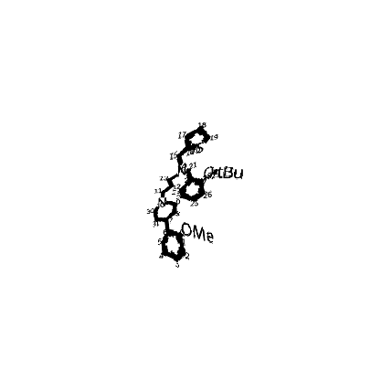 COc1ccccc1C1CCN(CCCN(Cc2cccs2)Cc2ccccc2OC(C)(C)C)CC1